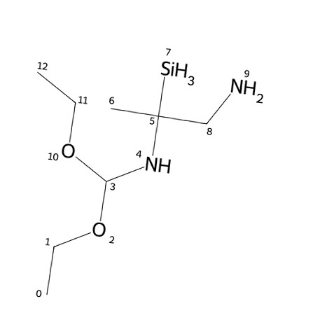 CCOC(NC(C)([SiH3])CN)OCC